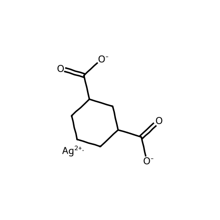 O=C([O-])C1CCCC(C(=O)[O-])C1.[Ag+2]